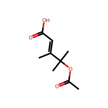 CC(=O)OC(C)(C)C(C)=CC(=O)O